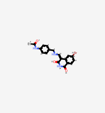 CCC(=O)Nc1ccc(CN/C=C2\C(=O)NC(=O)c3ccc(Br)cc32)cc1